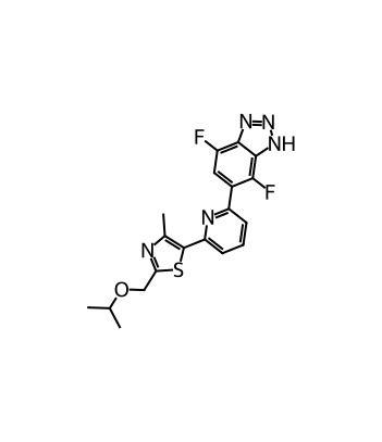 Cc1nc(COC(C)C)sc1-c1cccc(-c2cc(F)c3nn[nH]c3c2F)n1